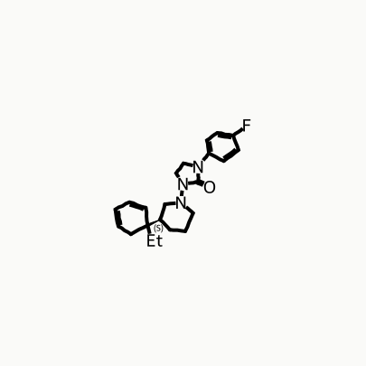 CCC1([C@@H]2CCCN(N3CCN(c4ccc(F)cc4)C3=O)C2)C=CC=CC1